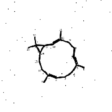 C/C1=C/CC/C(C)=C/CC/C(C)=C/C2C(CC1)C2(C)C